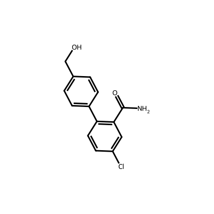 NC(=O)c1cc(Cl)ccc1-c1ccc(CO)cc1